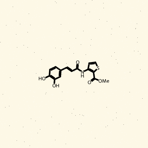 COC(=O)c1sccc1NC(=O)C=Cc1ccc(O)c(O)c1